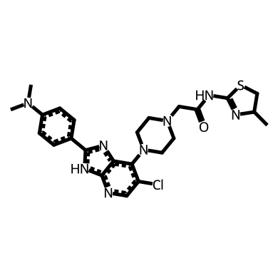 CC1CSC(NC(=O)CN2CCN(c3c(Cl)cnc4[nH]c(-c5ccc(N(C)C)cc5)nc34)CC2)=N1